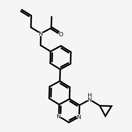 C=CCN(Cc1cccc(-c2ccc3ncnc(NC4CC4)c3c2)c1)C(C)=O